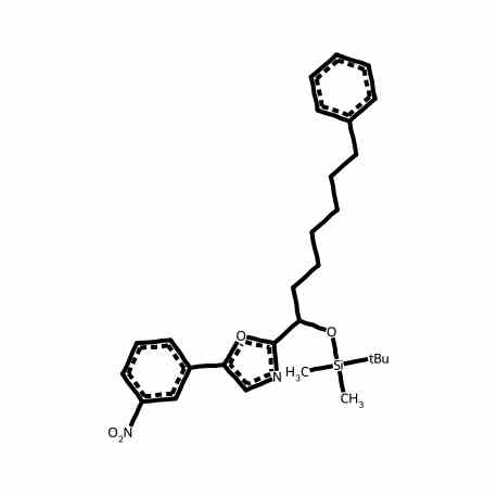 CC(C)(C)[Si](C)(C)OC(CCCCCCc1ccccc1)c1ncc(-c2cccc([N+](=O)[O-])c2)o1